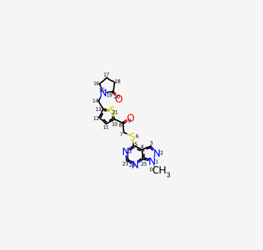 Cn1ncc2c(SCC(=O)c3ccc(CN4CCCC4=O)s3)ncnc21